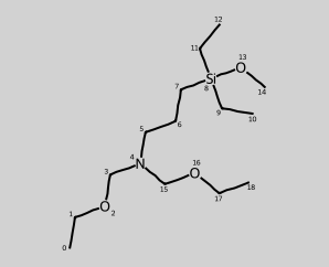 CCOCN(CCC[Si](CC)(CC)OC)COCC